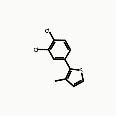 Cc1ccsc1-c1ccc(Cl)c(Cl)c1